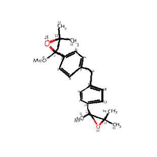 COC1(c2ccc(Cc3ccc(C4(OC)OC4(C)C)cc3)cc2)OC1(C)C